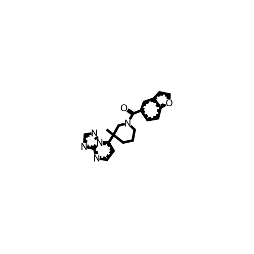 CC1(c2ccnc3ncnn23)CCCN(C(=O)c2ccc3occc3c2)C1